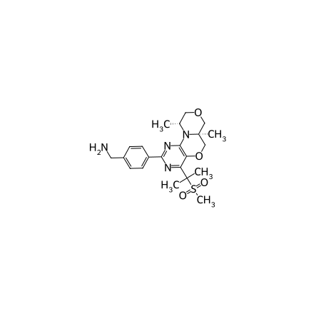 C[C@@H]1COC[C@@]2(C)COc3c(nc(-c4ccc(CN)cc4)nc3C(C)(C)S(C)(=O)=O)N12